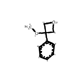 COC1(c2ccccc2)COC1